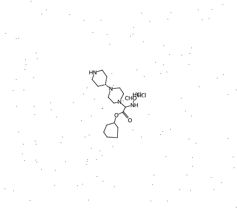 Cl.Cl.O=CNC(C(=O)OC1CCCCC1)N1CCN(C2CCNCC2)CC1